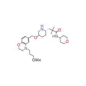 COCCCN1CCOc2ccc(CO[C@@H]3CC[C@@H](CC(C)(C)C(=O)NC4CCOCC4)NC3)cc21